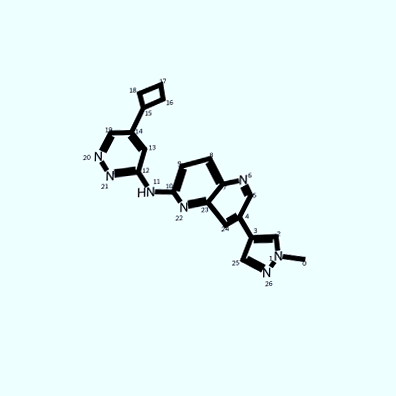 Cn1cc(-c2cnc3ccc(Nc4cc(C5CCC5)cnn4)nc3c2)cn1